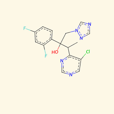 CC(c1ncncc1Cl)C(O)(Cn1cncn1)c1ccc(F)cc1F